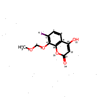 COCOc1c(I)ccc2c(O)cc(=O)oc12